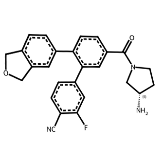 N#Cc1ccc(-c2cc(C(=O)N3CC[C@H](N)C3)ccc2-c2ccc3c(c2)COC3)cc1F